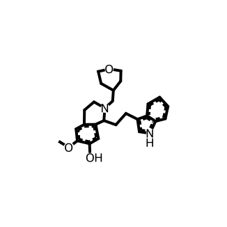 COc1cc2c(cc1O)C(CCc1c[nH]c3ccccc13)N(CC1CCOCC1)CC2